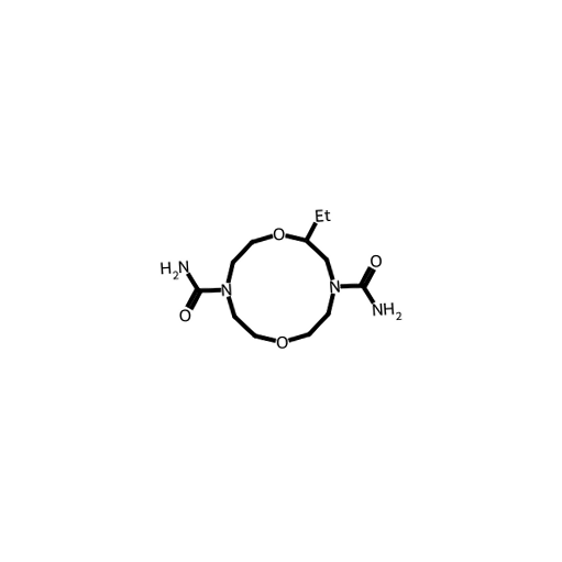 CCC1CN(C(N)=O)CCOCCN(C(N)=O)CCO1